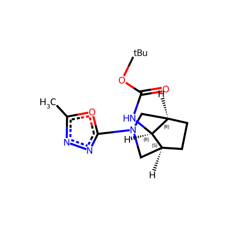 Cc1nnc(N2C[C@H]3CC[C@@H](C2)[C@H]3NC(=O)OC(C)(C)C)o1